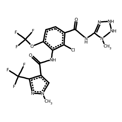 CN1NNN=C1NC(=O)c1ccc(OC(F)(F)F)c(NC(=O)c2cn(C)nc2C(F)(F)F)c1Cl